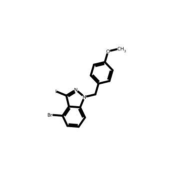 COc1ccc(Cn2nc(I)c3c(Br)cccc32)cc1